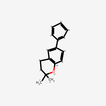 CC1(C)CCc2cc(-c3ccccc3)ccc2O1